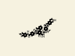 COc1cc(S(=O)(=O)Cc2ccc3c(c2)CCNC3)ccc1NC(=O)N[C@H](C)c1cc(-c2ccccc2C(C)NC(=O)Nc2ccc(C(=O)Nc3ccc4c(c3)CN(C)C4)cc2)cc(Cl)c1Cl